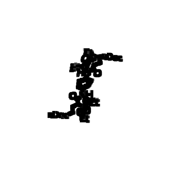 CCCCCCCCCCCCC(C(=O)Nc1ccc(NC(=O)C(CCCCCCCCCCCC)P(=O)(OCC)OCC)cc1)P(=O)(OCC)OCC